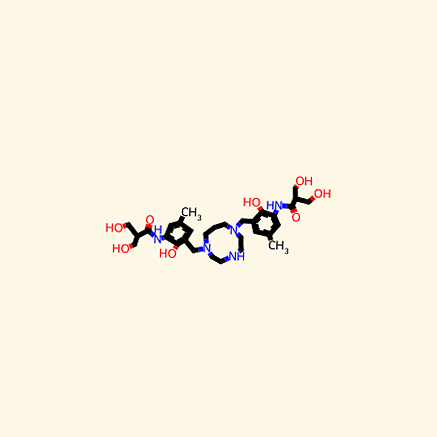 Cc1cc(CN2CCCN(Cc3cc(C)cc(NC(=O)C(CO)CO)c3O)CCNCC2)c(O)c(NC(=O)C(CO)CO)c1